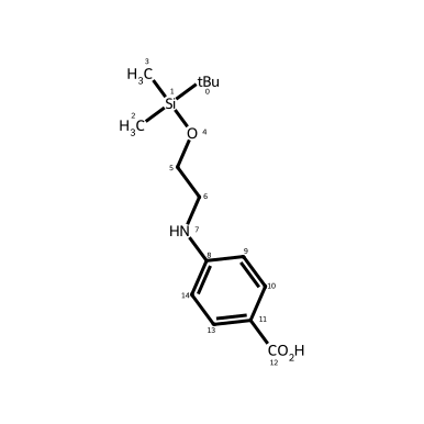 CC(C)(C)[Si](C)(C)OCCNc1ccc(C(=O)O)cc1